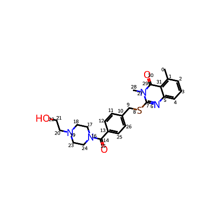 Cc1cccc2nc(SCc3ccc(C(=O)N4CCN(CCO)CC4)cc3)n(C)c(=O)c12